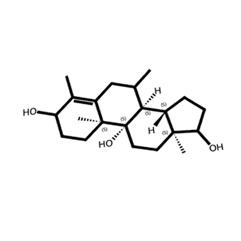 CC1=C2CC(C)[C@H]3[C@@H]4CCC(O)[C@@]4(C)CC[C@@]3(O)[C@@]2(C)CCC1O